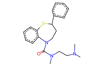 CN(C)CCN(C)C(=O)N1CCC(c2ccccc2)Sc2ccccc21